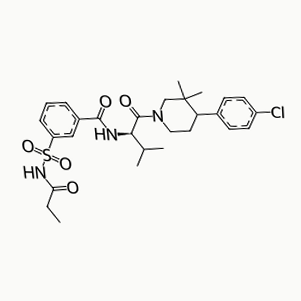 CCC(=O)NS(=O)(=O)c1cccc(C(=O)N[C@@H](C(=O)N2CCC(c3ccc(Cl)cc3)C(C)(C)C2)C(C)C)c1